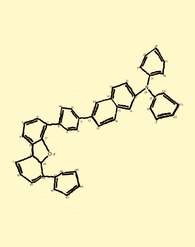 C1=CC2c3cccc(-c4ccc(-c5ccc6cc(N(c7ccccc7)c7ccccc7)ccc6c5)cc4)c3OC2C(c2ccccc2)=C1